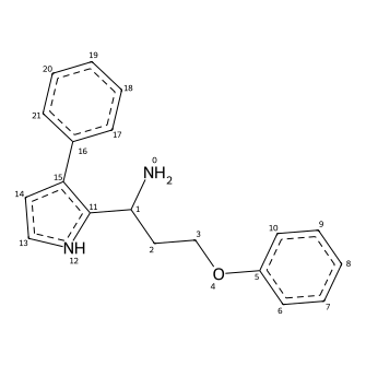 NC(CCOc1ccccc1)c1[nH]ccc1-c1ccccc1